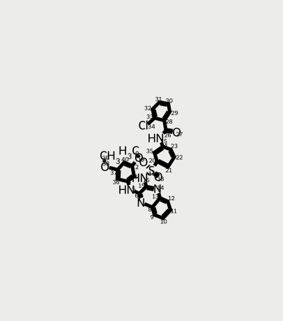 COc1cc(Nc2nc3ccccc3nc2NS(=O)(=O)c2cccc(NC(=O)c3ccccc3Cl)c2)cc(OC)c1